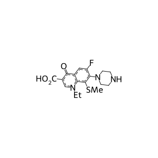 CCn1cc(C(=O)O)c(=O)c2cc(F)c(N3CCNCC3)c(SC)c21